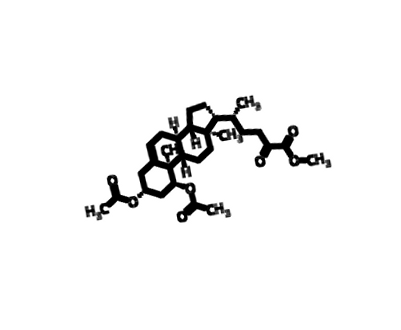 COC(=O)C(=O)CC[C@@H](C)[C@H]1CC[C@H]2[C@@H]3CC=C4C[C@@H](OC(C)=O)C[C@H](OC(C)=O)[C@]4(C)[C@H]3CC[C@]12C